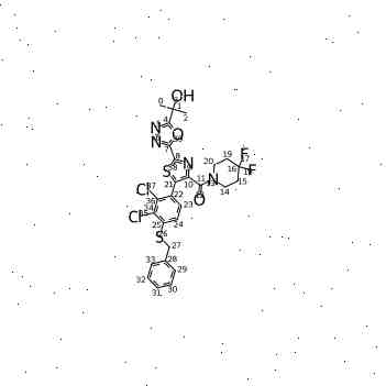 CC(C)(O)c1nnc(-c2nc(C(=O)N3CCC(F)(F)CC3)c(-c3ccc(SCc4ccccc4)c(Cl)c3Cl)s2)o1